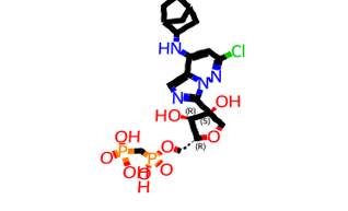 O=P(O)(O)CP(=O)(O)OC[C@H]1OC[C@@](O)(c2ncc3c(NC4CC5CCC4C5)cc(Cl)nn23)[C@@H]1O